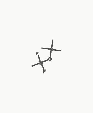 C[Si](C)(C)O[Si](C)(F)F